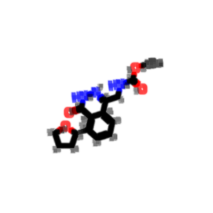 CC(C)(C)OC(=O)NCc1n[nH]c(=O)c2c([C@H]3CCCO3)cccc12